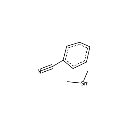 N#Cc1ccccc1.[CH3][Sn][CH3]